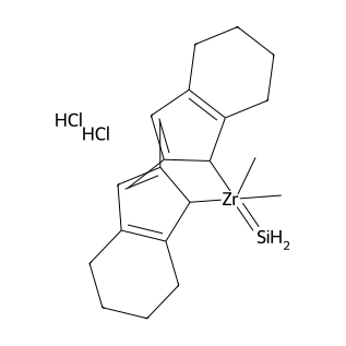 CC1=CC2=C(CCCC2)[CH]1[Zr]([CH3])([CH3])(=[SiH2])[CH]1C(C)=CC2=C1CCCC2.Cl.Cl